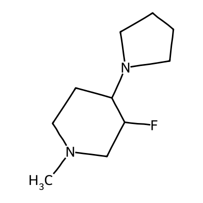 CN1CCC(N2CCCC2)C(F)C1